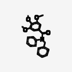 COc1cc(C(=O)N(Cc2ccccc2)c2ccccc2)cc(OC)c1OC